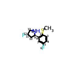 CSc1ccc(F)cc1[C@H]1C[C@H](F)CN1